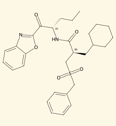 CCC[C@H](NC(=O)[C@@H](CC1CCCCC1)CS(=O)(=O)Cc1ccccc1)C(=O)c1nc2ccccc2o1